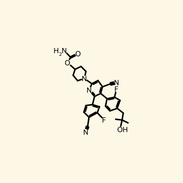 CC(C)(O)Cc1ccc(-c2c(C#N)cc(N3CCC(OC(N)=O)CC3)nc2-c2ccc(C#N)c(F)c2)c(F)c1